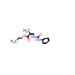 CCCOC(=O)C(C)=CNC(=O)Nc1ccccc1